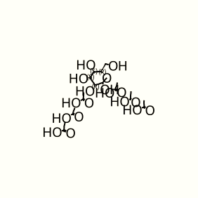 CC(=O)O.CC(=O)O.CC(=O)O.CC(=O)O.CC(=O)O.CC(=O)O.OC[C@H]1OC(O)[C@H](O)[C@@H](O)[C@@H]1O